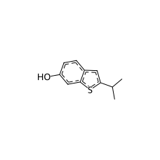 CC(C)c1cc2ccc(O)cc2s1